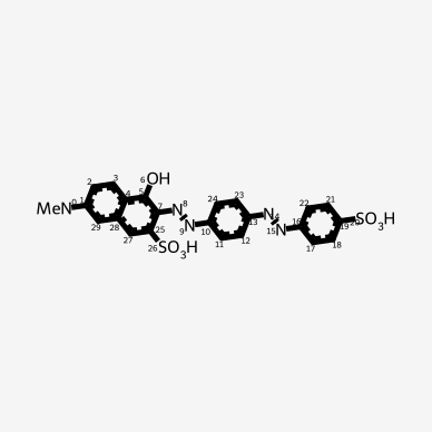 CNc1ccc2c(O)c(N=Nc3ccc(N=Nc4ccc(S(=O)(=O)O)cc4)cc3)c(S(=O)(=O)O)cc2c1